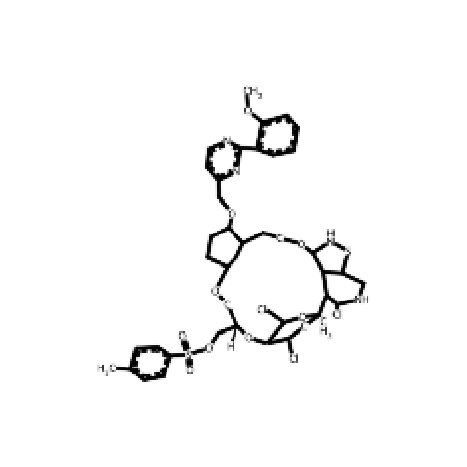 COc1ccccc1-c1nccc(COC2CCC3CC2CCOC2NSC4CNC(Cl)C(C24)C2(C)CC(Cl)C(O[C@H](COS(=O)(=O)c4ccc(C)cc4)CO3)C(Cl)C2)n1